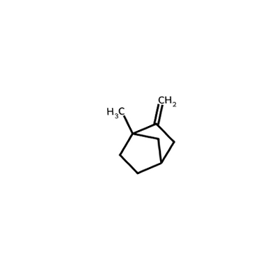 C=C1CC2CCC1(C)C2